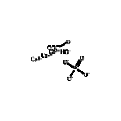 O=C([O-])[O-].O=P([O-])([O-])[O-].[Ca+2].[Ca+2].[Ca+2].[OH-]